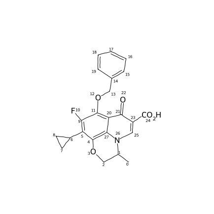 CC1COc2c(C3CC3)c(F)c(OCc3ccccc3)c3c(=O)c(C(=O)O)cn1c23